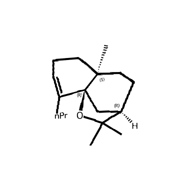 CCCC1=CCC[C@@]2(C)CC[C@@H]3C[C@]12OC3(C)C